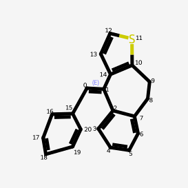 C(=C1/c2ccccc2CCc2sccc21)/c1ccccc1